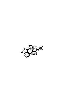 COc1cccc2c1C(=O)N1CCC[C@H]1c1c(C(=O)OC(C)(C)C)ncn1-2